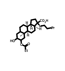 CCC(=O)OC1C[C@@]2(C)C(CC[C@@H]3[C@H]2CC[C@@]2(C)[C@H]3CCC2(NCCC(C)C)C(=O)O)CC1O